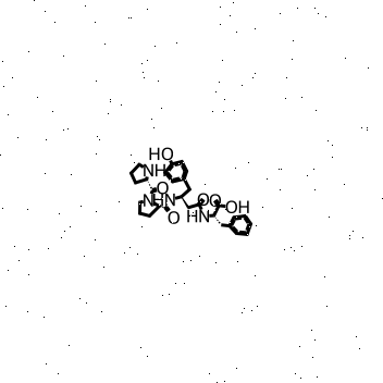 O=C(C[C@H](Cc1ccc(O)cc1)NC(=O)[C@@H]1CCCN1C(=O)[C@@H]1CCCN1)N[C@@H](Cc1ccccc1)C(=O)O